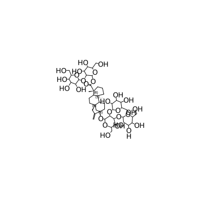 C=C1C[C@@]23CCC4[C@@](C)(CCC[C@@]4(C)C(=O)OC4OC(CO)C(O)C(O)C4OC4OC(CO)C(O)C(O)C4O)C2CC[C@@]1(OC1OC(CO)C(O)C(OC2OC(CO)C(O)C(O)C2O)C1OC1OC(CO)C(O)C(O)C1O)C3